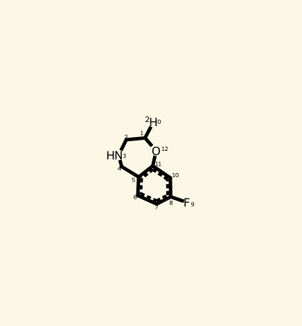 [2H]C1CNCc2ccc(F)cc2O1